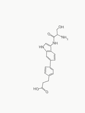 NC(CO)C(=O)Nc1c[nH]c2cc(-c3ccc(CCC(=O)O)cc3)ccc12